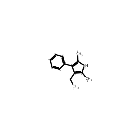 CCc1c(C)[nH]c(C)c1-c1ccccc1